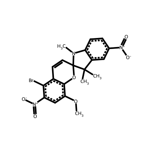 COc1cc([N+](=O)[O-])c(Br)c2c1OC1(C=C2)N(C)c2ccc([N+](=O)[O-])cc2C1(C)C